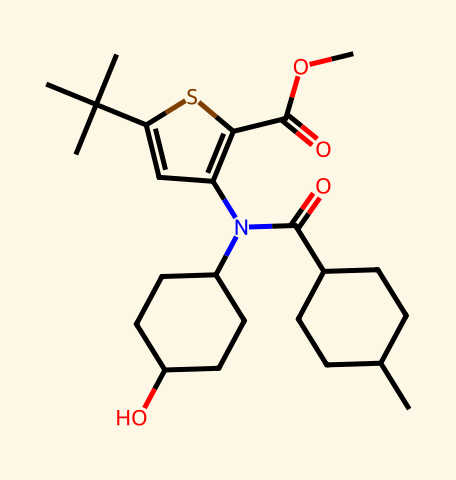 COC(=O)c1sc(C(C)(C)C)cc1N(C(=O)C1CCC(C)CC1)C1CCC(O)CC1